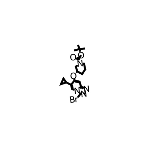 CC(C)(C)OC(=O)N1CCC[C@@H](Oc2cc3nnc(Br)n3cc2C2CC2)C1